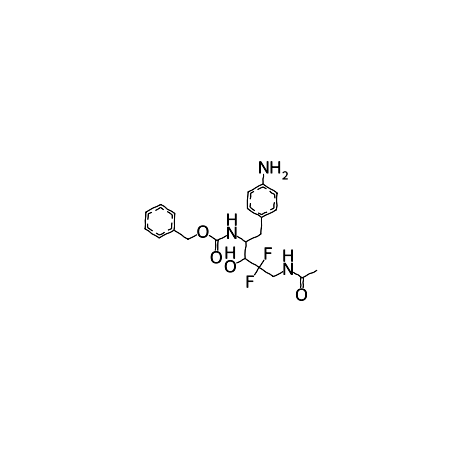 CC(=O)NCC(F)(F)C(O)C(Cc1ccc(N)cc1)NC(=O)OCc1ccccc1